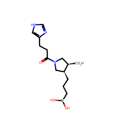 O=C(O)[C@@H]1CN(C(=O)CCc2c[nH]cn2)C[C@@H]1CCCB(O)O